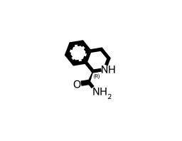 NC(=O)[C@@H]1NCCc2ccccc21